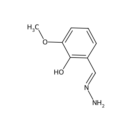 COc1cccc(C=NN)c1O